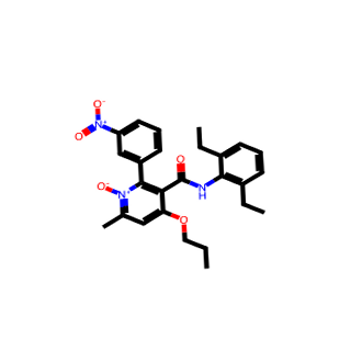 CCCOc1cc(C)[n+]([O-])c(-c2cccc([N+](=O)[O-])c2)c1C(=O)Nc1c(CC)cccc1CC